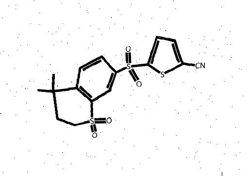 CC1(C)CCS(=O)(=O)c2cc(S(=O)(=O)c3ccc(C#N)s3)ccc21